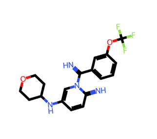 N=C(c1cccc(OC(F)(F)F)c1)n1cc(NC2CCOCC2)ccc1=N